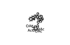 CC[C@@]1(OC(=O)OCCOC2OC(COC(C)=O)[C@@H](OC(C)=O)C(OC(C)=O)[C@H]2OC(C)=O)C(=O)OCc2c1cc1n(c2=O)Cc2cc3ccccc3nc2-1